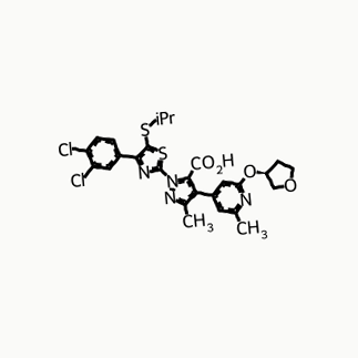 Cc1cc(-c2c(C)nn(-c3nc(-c4ccc(Cl)c(Cl)c4)c(SC(C)C)s3)c2C(=O)O)cc(O[C@H]2CCOC2)n1